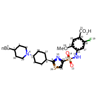 CCCCC1CCN([C@H]2CC[C@H](c3nc(S(=O)(=O)Nc4cc(F)c(C(=O)O)cc4OC)cs3)CC2)CC1